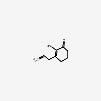 C=CCC1=C(C(C)C)C(=O)CCC1